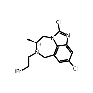 CC(C)CCN1Cc2cc(Cl)cc3nc(Cl)n(c23)C[C@@H]1C